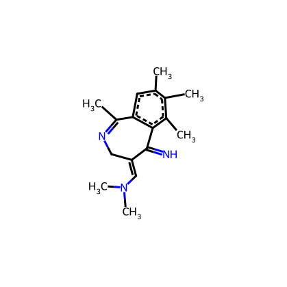 CC1=NC/C(=C\N(C)C)C(=N)c2c1cc(C)c(C)c2C